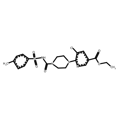 CCOC(=O)c1cnc(N2CCN(C(=O)NS(=O)(=O)c3ccc(C)cc3)CC2)c(Cl)c1